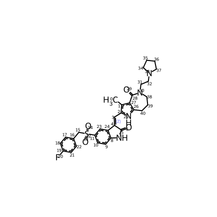 Cc1c(/C=C2\C(=O)Nc3ccc(S(=O)(=O)Cc4ccc(F)cc4)cc32)[nH]c2c1C(=O)N(CCN1CCCC1)CCC2